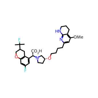 COc1cc(CCCCO[C@@H]2CCN([C@H](C(=O)O)c3cc(F)cc4c3CC(C(C)(C)F)CO4)C2)nc2c1CCCN2